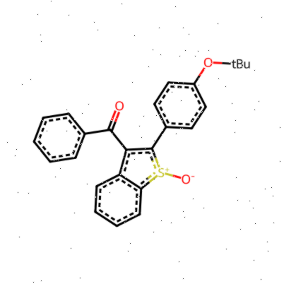 CC(C)(C)Oc1ccc(-c2c(C(=O)c3ccccc3)c3ccccc3[s+]2[O-])cc1